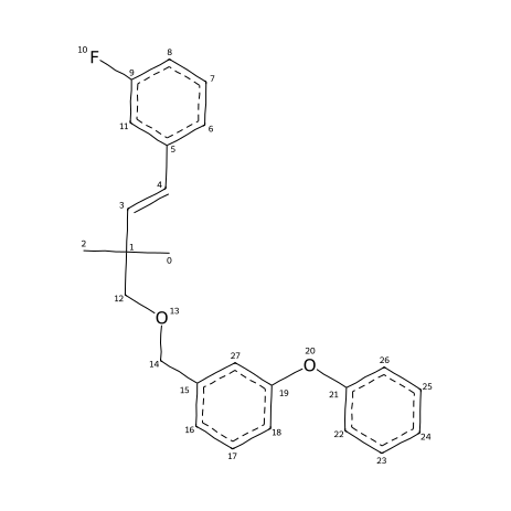 CC(C)(/C=C/c1cccc(F)c1)COCc1cccc(Oc2ccccc2)c1